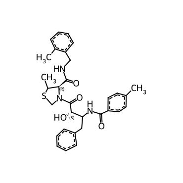 Cc1ccc(C(=O)NC(Cc2ccccc2)[C@H](O)C(=O)N2CSC(C)[C@H]2C(=O)NCc2ccccc2C)cc1